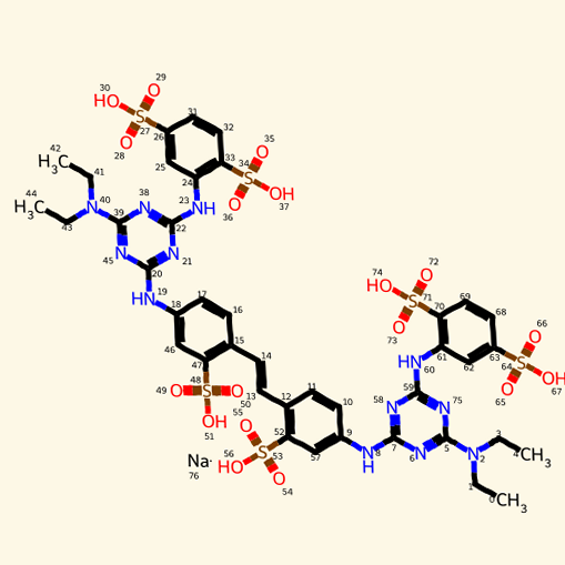 CCN(CC)c1nc(Nc2ccc(C=Cc3ccc(Nc4nc(Nc5cc(S(=O)(=O)O)ccc5S(=O)(=O)O)nc(N(CC)CC)n4)cc3S(=O)(=O)O)c(S(=O)(=O)O)c2)nc(Nc2cc(S(=O)(=O)O)ccc2S(=O)(=O)O)n1.[Na]